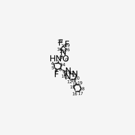 O=C(Nc1ccc(F)c(-c2cn3cc(-c4ccccc4)cnc3n2)c1)N1CC(F)(F)C1